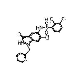 Cc1c(Cl)cccc1S(=O)(=O)Nc1cc2c(=O)[nH]n(Cc3ccccn3)c2cc1Cl